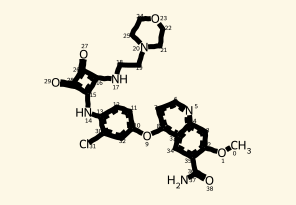 COc1cc2nccc(Oc3ccc(Nc4c(NCCN5CCOCC5)c(=O)c4=O)c(Cl)c3)c2cc1C(N)=O